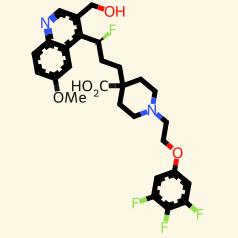 COc1ccc2ncc(CO)c([C@@H](F)CCC3(C(=O)O)CCN(CCOc4cc(F)c(F)c(F)c4)CC3)c2c1